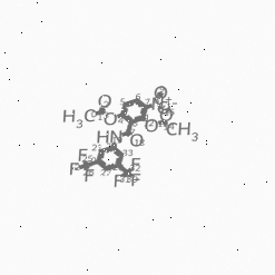 CC(=O)Oc1ccc([N+](=O)[O-])c(OC(C)=O)c1C(=O)Nc1cc(C(F)(F)F)cc(C(F)(F)F)c1